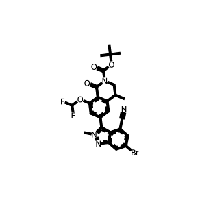 CC1CN(C(=O)OC(C)(C)C)C(=O)c2c(OC(F)F)cc(-c3c4c(C#N)cc(Br)cc4nn3C)cc21